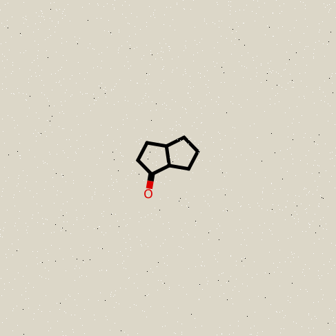 O=C1CCC2CCCC12